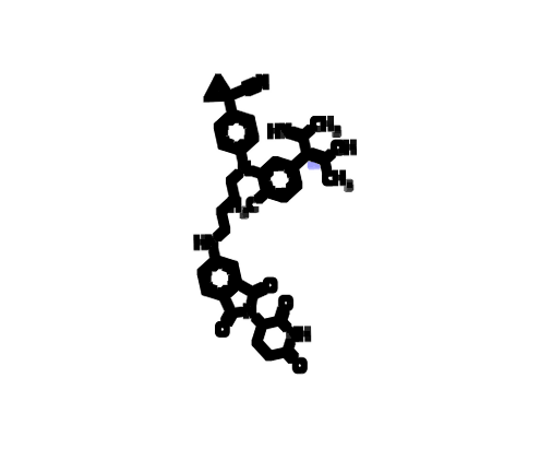 CC(=N)/C(=C(/C)O)c1ccc(C)c(N(CCCCNc2ccc3c(c2)C(=O)N(C2CCC(=O)NC2=O)C3=O)c2ccc(C3(C#N)CC3)cc2)c1